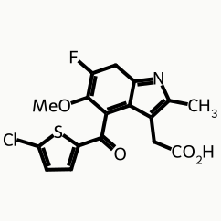 COC1=C(F)CC2=NC(C)=C(CC(=O)O)C2=C1C(=O)c1ccc(Cl)s1